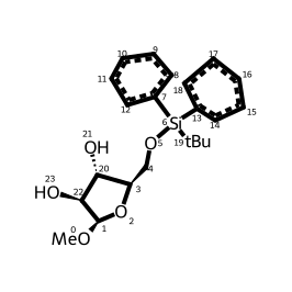 CO[C@@H]1O[C@H](CO[Si](c2ccccc2)(c2ccccc2)C(C)(C)C)[C@@H](O)[C@@H]1O